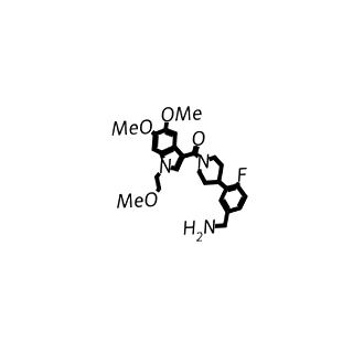 COCCn1cc(C(=O)N2CCC(c3cc(CN)ccc3F)CC2)c2cc(OC)c(OC)cc21